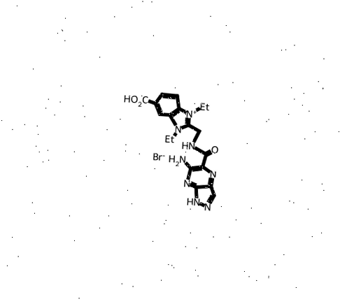 CCn1c(CNC(=O)c2nc3cn[nH]c3nc2N)[n+](CC)c2ccc(C(=O)O)cc21.[Br-]